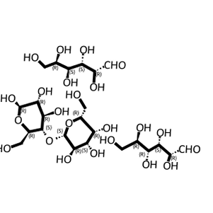 O=C[C@H](O)[C@@H](O)[C@@H](O)[C@H](O)CO.O=C[C@H](O)[C@@H](O)[C@H](O)[C@H](O)CO.OC[C@H]1O[C@@H](O[C@H]2[C@H](O)[C@@H](O)[C@H](O)O[C@@H]2CO)[C@H](O)[C@@H](O)[C@H]1O